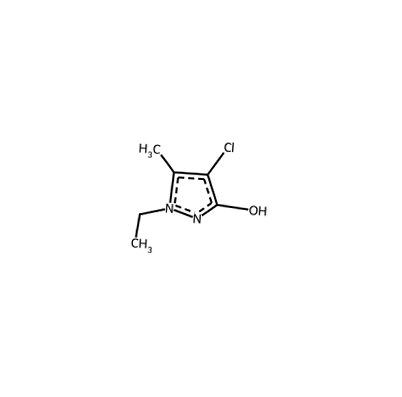 CCn1nc(O)c(Cl)c1C